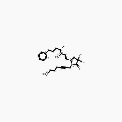 C[C@@H](CCCc1ccccc1)[C@H](O)/C=C/[C@H]1CC(F)(F)C(=O)N1CC#CCCCC(=O)O